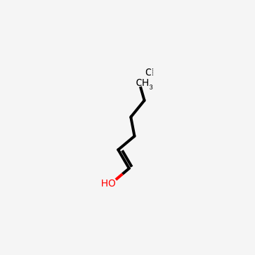 CCCCC=CO.[C]